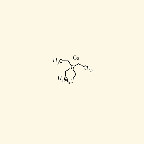 C[CH2][Ti]([CH2]C)([CH2]C)[CH2]C.[Ce]